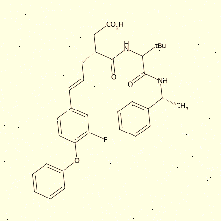 C[C@@H](NC(=O)C(NC(=O)[C@H](C/C=C/c1ccc(Oc2ccccc2)c(F)c1)CC(=O)O)C(C)(C)C)c1ccccc1